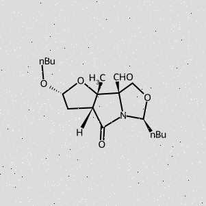 CCCCO[C@H]1C[C@H]2C(=O)N3[C@H](CCCC)OC[C@@]3(C=O)[C@@]2(C)O1